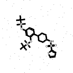 CC(C)(C)[Si](C)(C)Oc1ccc(C2CCC(NS(=O)(=O)c3cccs3)CC2)c(O[Si](C)(C)C(C)(C)C)c1